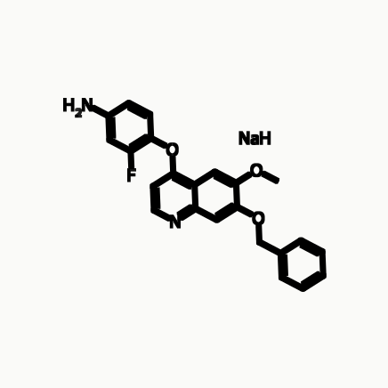 COc1cc2c(Oc3ccc(N)cc3F)ccnc2cc1OCc1ccccc1.[NaH]